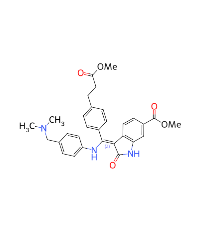 COC(=O)CCc1ccc(/C(Nc2ccc(CN(C)C)cc2)=C2/C(=O)Nc3cc(C(=O)OC)ccc32)cc1